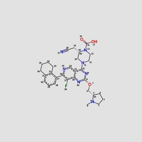 CN1CCC[C@H]1COc1nc(N2CCN(C(=O)O)[C@@H](CC#N)C2)c2cnc(-c3cccc4c3CCCC4)c(F)c2n1